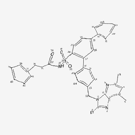 CCc1nc2c(C)cc(C)nc2n1Cc1ccc(-c2cc(-c3ccccc3)ccc2S(=O)(=O)NC(=O)CCc2ccccc2)cc1